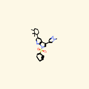 CC1CCCC(c2cnc3c(c2)c(-c2cnn(C)c2)cn3S(=O)(=O)c2ccccc2)C1(C)C